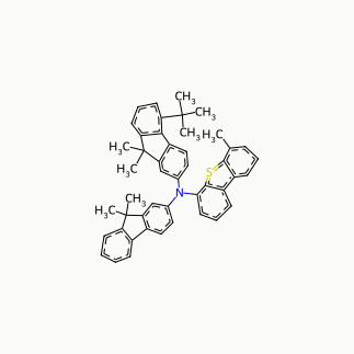 Cc1cccc2c1sc1c(N(c3ccc4c(c3)C(C)(C)c3ccccc3-4)c3ccc4c(c3)C(C)(C)c3cccc(C(C)(C)C)c3-4)cccc12